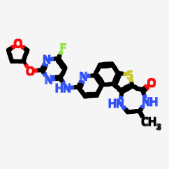 CC1CNc2c(sc3ccc4nc(Nc5cc(F)nc(O[C@H]6CCOC6)n5)ccc4c23)C(=O)N1